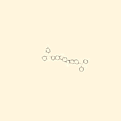 Cc1ccc(N(c2ccc3cc4c(cc3c2)oc2cc3c(cc24)oc2cc4cc(N(c5ccccc5C)c5ccc(C)cc5C)ccc4cc23)c2ccccc2C)c(C)c1